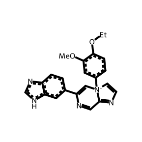 CCOc1ccc([N+]23C=CN=C2C=NC(c2ccc4nc[nH]c4c2)=C3)cc1OC